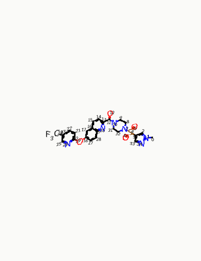 Cn1cc(S(=O)(=O)N2CCN(C(=O)c3ccc4cc(Oc5ccc(C(F)(F)F)cn5)ccc4n3)CC2)cn1